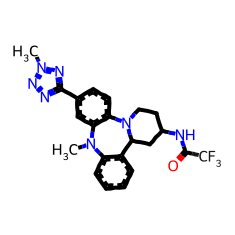 CN1c2ccccc2C2CC(NC(=O)C(F)(F)F)CCN2c2ccc(-c3nnn(C)n3)cc21